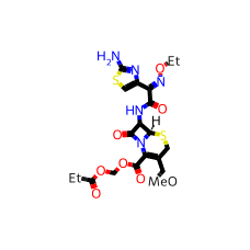 CCO/N=C(/C(=O)NC1C(=O)N2C(C(=O)OCOC(=O)CC)=C(COC)CS[C@H]12)c1csc(N)n1